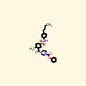 CCCCc1ccc(NS(=O)(=O)c2ccc(C)c(C(=O)N3CCN(C(=O)Oc4ccccc4)CC3)c2)cc1